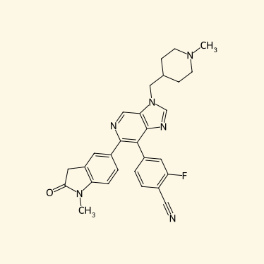 CN1CCC(Cn2cnc3c(-c4ccc(C#N)c(F)c4)c(-c4ccc5c(c4)CC(=O)N5C)ncc32)CC1